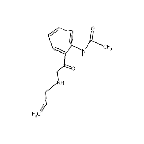 C=CCNCC(=O)c1ccccc1NC(C)=O